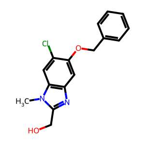 Cn1c(CO)nc2cc(OCc3ccccc3)c(Cl)cc21